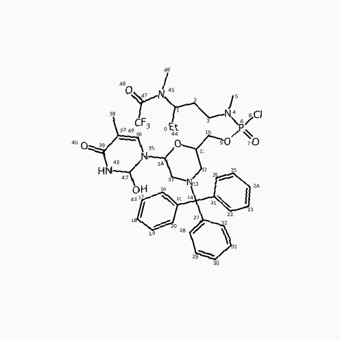 CCC(CCN(C)P(=O)(Cl)OCC1CN(C(c2ccccc2)(c2ccccc2)c2ccccc2)CC(N2C=C(C)C(=O)NC2O)O1)N(C)C(=O)C(F)(F)F